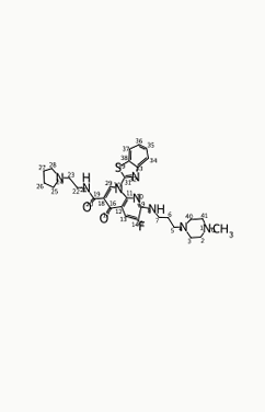 CN1CCN(CCCNc2nc3c(cc2F)c(=O)c(C(=O)NCCN2CCCC2)cn3-c2nc3ccccc3s2)CC1